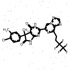 Cc1cc(C2(C)C(=O)Nc3nc(-c4cn5ncnc5c(CCC(F)(F)C(F)(F)F)n4)[nH]c(=O)c32)ccc1Cl